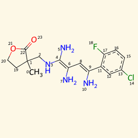 CC1(CN/C(N)=C(N)/C=C(\N)c2cc(Cl)ccc2F)CCOC1=O